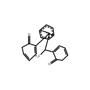 CC(C1=CC=CCC1=O)C1(C2=CC=CCC2=O)Oc2ccc(cc2)O1